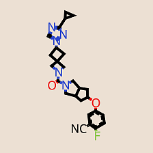 N#Cc1cc(OC2CC3CN(C(=O)N4CC5(CC(n6cnc(C7CC7)n6)C5)C4)CC3C2)ccc1F